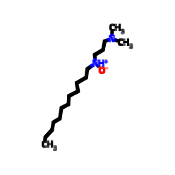 CCCCCCCCCCCC[NH+]([O-])CCCN(C)C